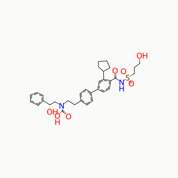 O=C(NS(=O)(=O)CCCO)c1ccc(-c2ccc(CCN(C[C@H](O)c3ccccc3)C(=O)O)cc2)cc1C1CCCC1